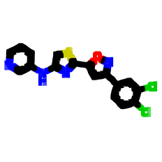 Clc1ccc(-c2cc(-c3nc(Nc4cccnc4)cs3)on2)cc1Cl